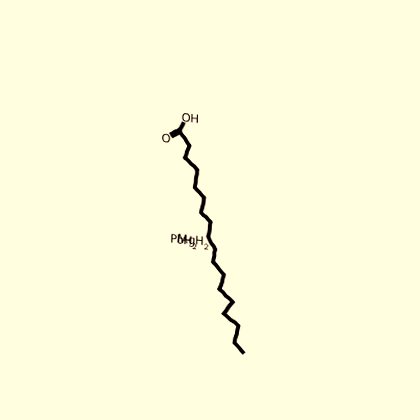 CCCCCCCCCCCCCCCCCC(=O)O.[MgH2].[PbH2]